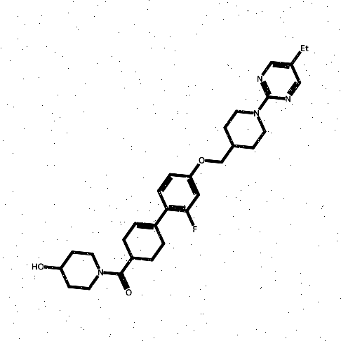 CCc1cnc(N2CCC(COc3ccc(C4=CCC(C(=O)N5CCC(O)CC5)CC4)c(F)c3)CC2)nc1